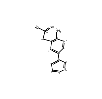 Nc1ncc(-c2cccnc2)nc1CC(=O)O